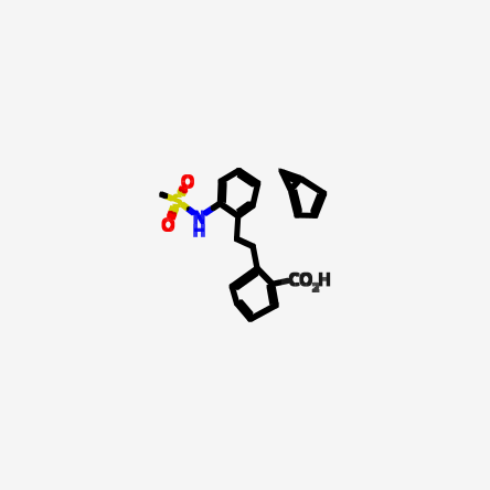 CS(=O)(=O)Nc1ccccc1CCc1ccccc1C(=O)O.c1cc2cc-2c1